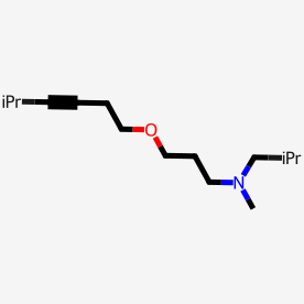 CC(C)C#CCCOCCCN(C)CC(C)C